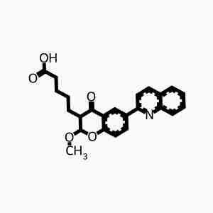 COC1Oc2ccc(-c3ccc4ccccc4n3)cc2C(=O)C1CCCCC(=O)O